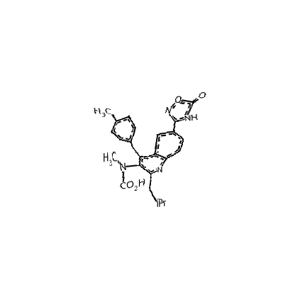 Cc1ccc(-c2c(N(C)C(=O)O)c(CC(C)C)nc3ccc(-c4noc(=O)[nH]4)cc23)cc1